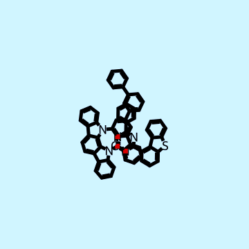 c1ccc(-c2cccc(-c3cc(-n4c5ccccc5c5ccc6c7ccccc7n(-c7nc(-c8ccccc8)nc(-c8cccc9sc%10ccccc%10c89)n7)c6c54)c4oc5ccccc5c4c3)c2)cc1